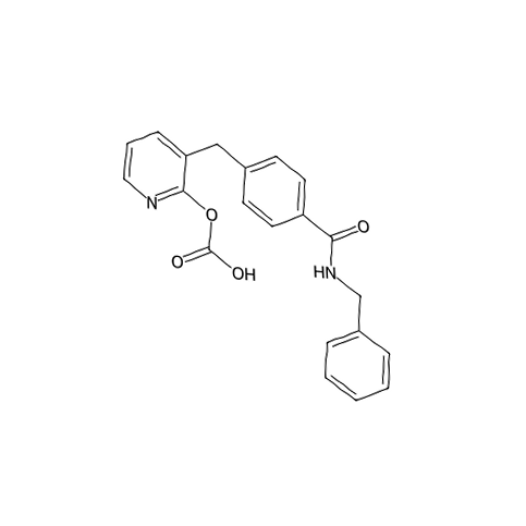 O=C(O)Oc1ncccc1Cc1ccc(C(=O)NCc2ccccc2)cc1